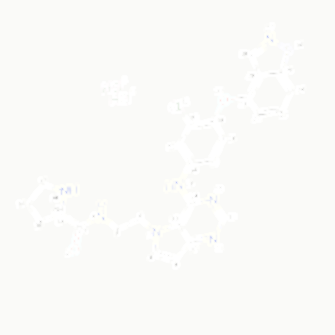 Cl.Cl.O=C(NCCn1ccc2ncnc(Nc3ccc(Oc4cccc5sncc45)c(Cl)c3)c21)[C@@H]1CCCN1